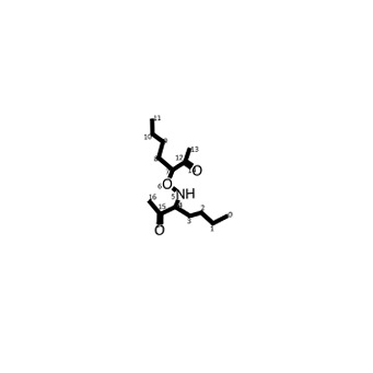 CCCCC(NOC(CCCC)C(C)=O)C(C)=O